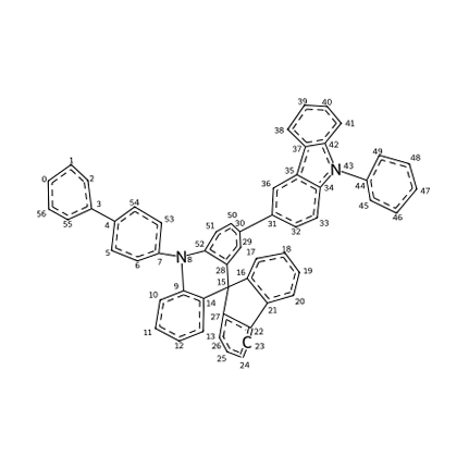 c1ccc(-c2ccc(N3c4ccccc4C4(c5ccccc5-c5ccccc54)c4cc(-c5ccc6c(c5)c5ccccc5n6-c5ccccc5)ccc43)cc2)cc1